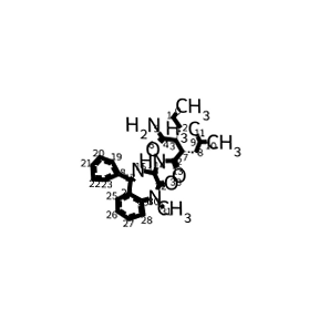 CCC[C@@H](C(N)=O)[C@H](CC(C)C)C(=O)NC1N=C(c2ccccc2)c2ccccc2N(C)C1=O